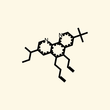 C=CCCc1c(CC=C)c2cc(C(C)(C)C)cnc2c2ncc(C(C)CC)cc12